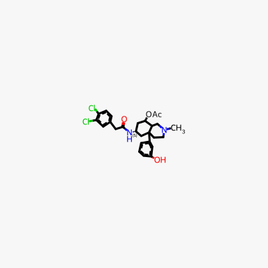 CC(=O)OC1C[C@@H](NC(=O)Cc2ccc(Cl)c(Cl)c2)CC2(c3cccc(O)c3)CCN(C)CC12